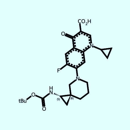 CC(C)(C)OC(=O)N[C@H]1C[C@@]12CCCN(c1cc3c(cc1F)c(=O)c(C(=O)O)cn3C1CC1)C2